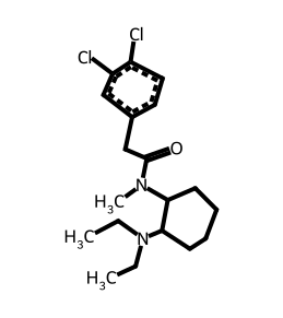 CCN(CC)C1CCCCC1N(C)C(=O)Cc1ccc(Cl)c(Cl)c1